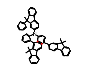 CC1(C)c2ccccc2-c2ccc(-c3ccc(N(c4ccc5c(c4)C(C)(c4ccccc4)c4ccccc4-5)c4ccccc4-c4cccc5c4C(C)(C)c4ccccc4-5)cc3)cc21